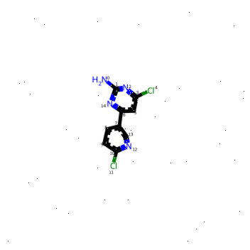 Nc1nc(Cl)cc(-c2ccc(Cl)nc2)n1